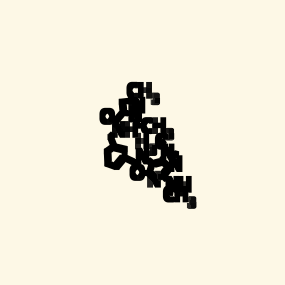 CCn1nc(C)cc1C(=O)NCc1cccc(-c2nc3c(nc(NC)c4ncn(C)c43)o2)c1